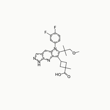 COCC(C)(C)c1c(C2CC(C)(C(=O)O)C2)c2nc3[nH]ncc3cc2n1-c1ccc(F)c(F)c1